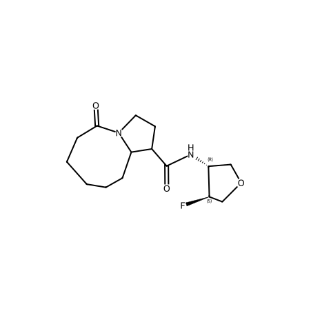 O=C(N[C@@H]1COC[C@H]1F)C1CCN2C(=O)CCCCCC12